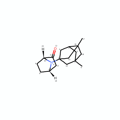 CC12CC3CC(N4[C@H]5CC[C@@H]4C(=O)C5)(C1)CC3(C)C2